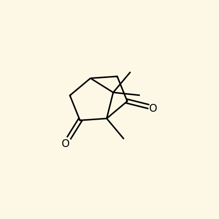 CC12C(=O)CC(CC1=O)C2(C)C